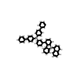 c1ccc(-c2ccc(N(c3ccc(-c4ccccc4)cc3)c3cccc(-c4cccc5c4c4ccccc4n5-c4cccc5ccccc45)c3)cc2)cc1